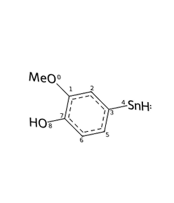 COc1c[c]([SnH])ccc1O